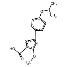 COc1nc(-c2ccc(OC(C)C)cc2)sc1C(=O)O